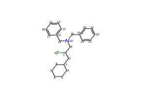 FC(CC1CCCCC1)CN(Cc1ccccc1)Cc1ccccc1